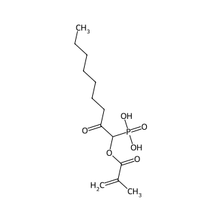 C=C(C)C(=O)OC(C(=O)CCCCCCC)P(=O)(O)O